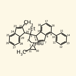 CCC[CH2][Zr]1([CH2]C(CC)(C2C=Cc3c(-c4ccccc4)cccc32)C2C(C)=Cc3ccccc32)[CH2][CH]1C